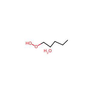 CCCCCOO.O